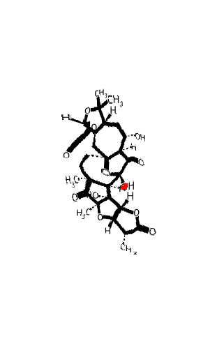 C[C@H]1C(=O)O[C@@H]2[C@H]1O[C@@]1(C)C(=O)[C@@]3(C)CC[C@]45C[C@]67OC(=O)C[C@H]6OC(C)(C)[C@@H]7C[C@H](O)[C@H]4C(=O)[C@@](O)(O5)[C@H]3[C@@]21O